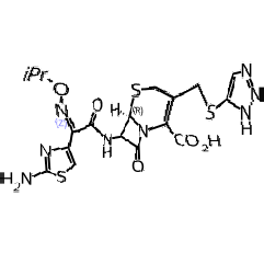 CC(C)O/N=C(\C(=O)NC1C(=O)N2C(C(=O)O)=C(CSc3cnn[nH]3)CS[C@H]12)c1csc(N)n1